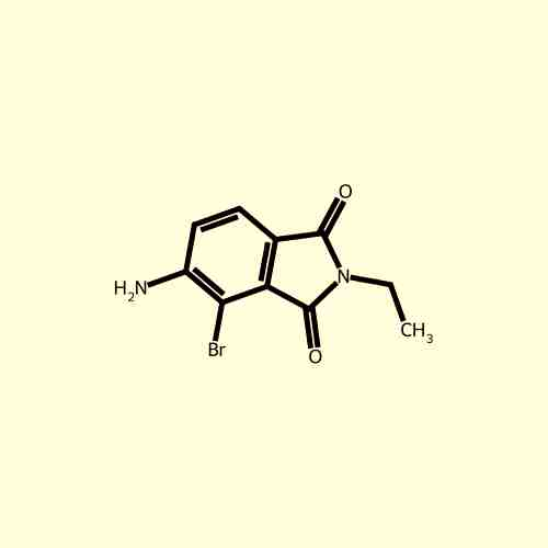 CCN1C(=O)c2ccc(N)c(Br)c2C1=O